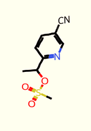 CC(OS(C)(=O)=O)c1ccc(C#N)cn1